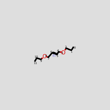 CCCOC/C=C/COCCC